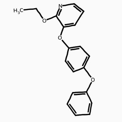 CCOc1ncccc1Oc1ccc(Oc2ccccc2)cc1